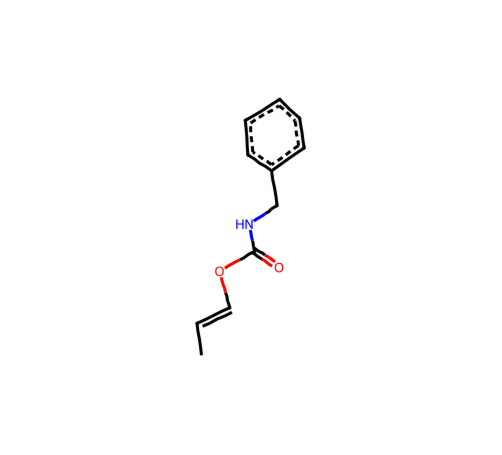 CC=COC(=O)NCc1ccccc1